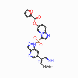 CN/C=C(\C=N)c1cnc2cnn(S(=O)(=O)c3cnc4ccc(OC(=O)c5ccco5)cn34)c2c1